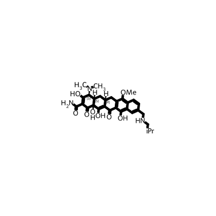 COc1c2c(c(O)c3cc(CNCC(C)C)ccc13)C(=O)C1=C(O)[C@]3(O)C(=O)C(C(N)=O)=C(O)[C@@H](N(C)C)[C@@H]3C[C@@H]1C2